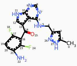 Cc1cc(CNc2ncnc3[nH]cc(C(=O)c4c(F)ccc(N)c4F)c23)n[nH]1